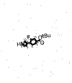 CC(C)(C)OC(=O)c1ccc(-c2cn[nH]c2)c(F)c1